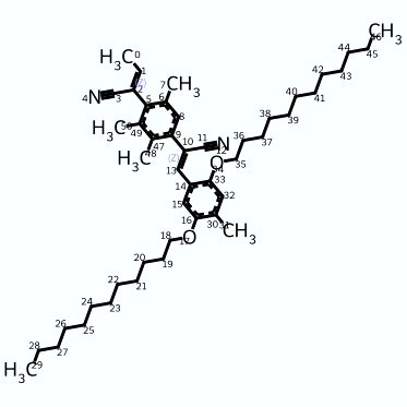 C/C=C(\C#N)c1c(C)cc(/C(C#N)=C/c2cc(OCCCCCCCCCCCC)c(C)cc2OCCCCCCCCCCCC)c(C)c1C